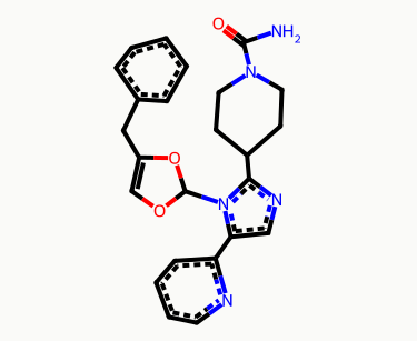 NC(=O)N1CCC(c2ncc(-c3ccccn3)n2C2OC=C(Cc3ccccc3)O2)CC1